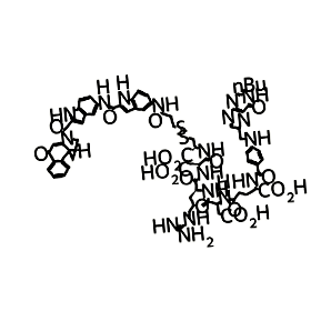 CCCCc1nc2ncc(CNc3ccc(C(=O)N[C@@H](CCC(=O)NC(CC(=O)O)C(=O)N[C@@H](CCCNC(=N)N)C(=O)N[C@@H](CC(=O)O)C(=O)N[C@@H](CSSCCC(=O)Nc4ccc5[nH]c(C(=O)Nc6ccc7[nH]c(C(=O)N8C[C@H]9CC9%10C8=CC(=O)c8ccccc8%10)cc7c6)cc5c4)C(=O)O)C(=O)O)cc3)nc2c(=O)[nH]1